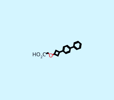 O=C(O)COC1CC(c2ccc(-c3ccccc3)cc2)C1